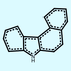 [c]1cccc2ccc3[nH]c4ccccc4c3c12